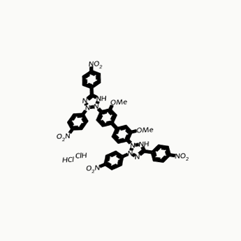 COc1cc(-c2ccc(N3NC(c4ccc([N+](=O)[O-])cc4)=NN3c3ccc([N+](=O)[O-])cc3)c(OC)c2)ccc1N1NC(c2ccc([N+](=O)[O-])cc2)=NN1c1ccc([N+](=O)[O-])cc1.Cl.Cl